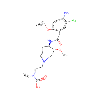 COc1cc(N)c(Cl)cc1C(=O)N[C@@H]1CCN(CCN(C)C(=O)O)C[C@@H]1OC